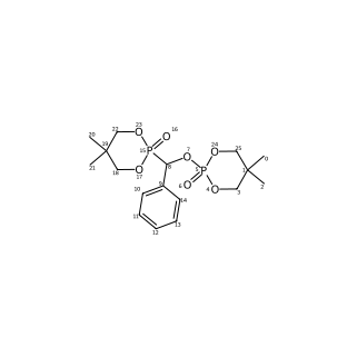 CC1(C)COP(=O)(OC(c2ccccc2)P2(=O)OCC(C)(C)CO2)OC1